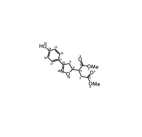 COC(=O)CC(C(=O)OC)C1CC(c2ccc(O)cc2)=NO1